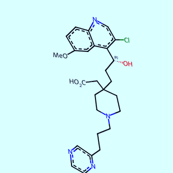 COc1ccc2ncc(Cl)c([C@H](O)CCC3(CC(=O)O)CCN(CCCc4cnccn4)CC3)c2c1